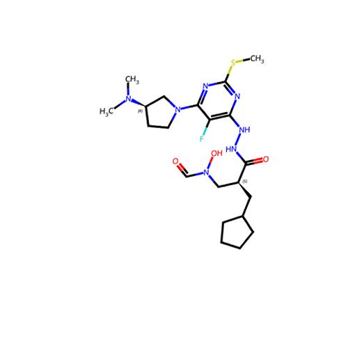 CSc1nc(NNC(=O)[C@@H](CC2CCCC2)CN(O)C=O)c(F)c(N2CC[C@@H](N(C)C)C2)n1